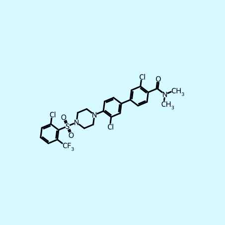 CN(C)C(=O)c1ccc(-c2ccc(N3CCN(S(=O)(=O)c4c(Cl)cccc4C(F)(F)F)CC3)c(Cl)c2)cc1Cl